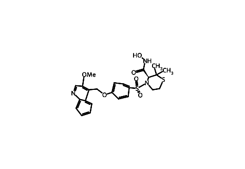 COc1cnc2ccccc2c1COc1ccc(S(=O)(=O)N2CCSC(C)(C)[C@@H]2C(=O)NO)cc1